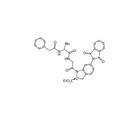 CCOC(=O)[C@@H]1Cc2ccc(N3C(=O)c4ccccc4C3=O)cc2N1C(=O)CNC(=O)C(NC(=O)Cc1ccccc1)C(C)CC